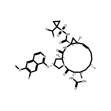 COc1cc2ccnc(O[C@@H]3C[C@H]4C(=O)N[C@]5(C(=O)NS(=O)(=O)C6(C(F)F)CC6)C[C@H]5C=CCC[C@H](C)C[C@@H](C)[C@H](NC(=O)O)C(=O)N4C3)c2cc1F